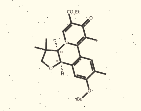 CCCCOc1cc2c(cc1C)-c1c(F)c(=O)c(C(=O)OCC)cn1[C@H]1[C@@H]2OCC1(C)C